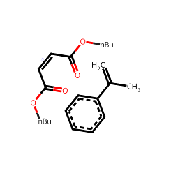 C=C(C)c1ccccc1.CCCCOC(=O)/C=C\C(=O)OCCCC